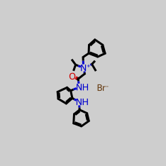 CC(C)[N+](CC(=O)Nc1ccccc1Nc1ccccc1)(Cc1ccccc1)C(C)C.[Br-]